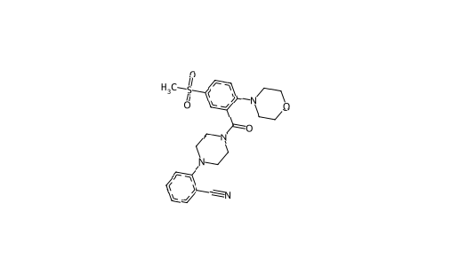 CS(=O)(=O)c1ccc(N2CCOCC2)c(C(=O)N2CCN(c3ccccc3C#N)CC2)c1